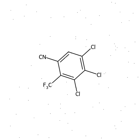 [C-]#[N+]c1cc(Cl)c(Cl)c(Cl)c1C(F)(F)F